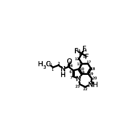 CCCNC(=O)c1cn2c3c1C(CC(F)(F)F)CC=C3CNCC2